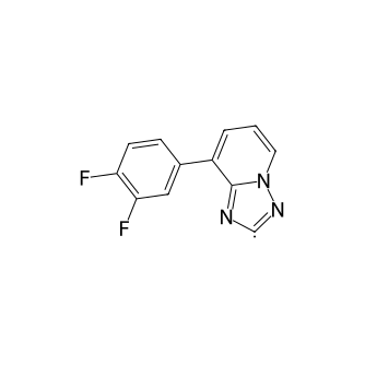 Fc1ccc(-c2cccn3n[c]nc23)cc1F